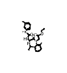 CCOC(=O)CN1C(=O)[C@H](NC(=O)Nc2cccc(C)c2)N=C(C)c2cccc(C)c21